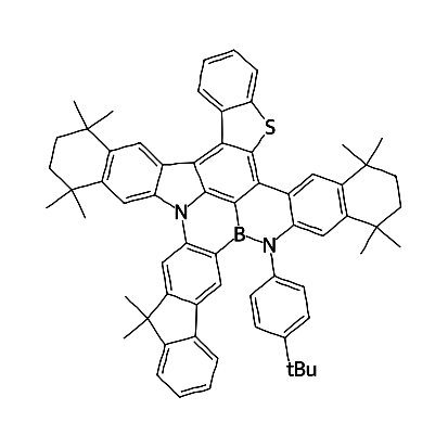 CC(C)(C)c1ccc(N2B3c4cc5c(cc4-n4c6cc7c(cc6c6c8c(sc9ccccc98)c(c3c64)-c3cc4c(cc32)C(C)(C)CCC4(C)C)C(C)(C)CCC7(C)C)C(C)(C)c2ccccc2-5)cc1